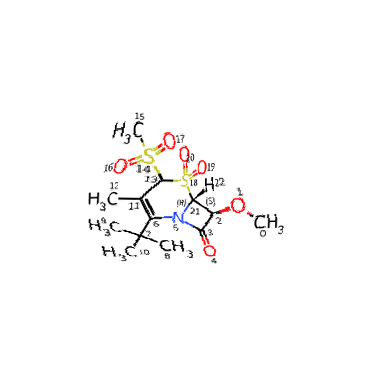 CO[C@H]1C(=O)N2C(C(C)(C)C)=C(C)C(S(C)(=O)=O)S(=O)(=O)[C@H]12